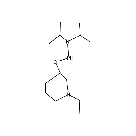 CCN1CCCC(OPN(C(C)C)C(C)C)C1